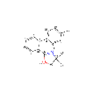 Cc1ccc(C2C=CC=CC2C2=NC(C)(C)CO2)cc1